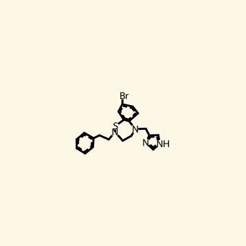 Brc1ccc2c(c1)SN(CCc1ccccc1)CCN2Cc1c[nH]cn1